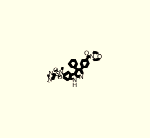 CN(c1ccc2[nH]c3ncc(-c4ccc(C(=O)N5CCOCC5)cc4)c(-c4ccccc4)c3c2c1)S(=O)(=O)c1cn(C)cn1